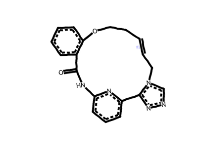 O=C1Nc2cccc(n2)-c2nncn2C/C=C/CCOc2ccccc21